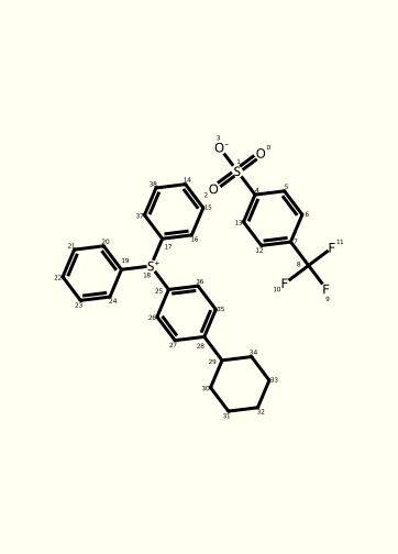 O=S(=O)([O-])c1ccc(C(F)(F)F)cc1.c1ccc([S+](c2ccccc2)c2ccc(C3CCCCC3)cc2)cc1